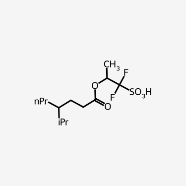 CCCC(CCC(=O)OC(C)C(F)(F)S(=O)(=O)O)C(C)C